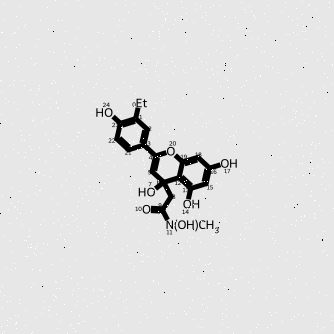 CCc1cc(C2=CC(O)(CC(=O)N(C)O)c3c(O)cc(O)cc3O2)ccc1O